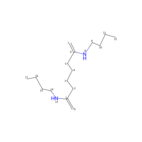 C=C(CCCCC(=C)NCCCC)NCCCC